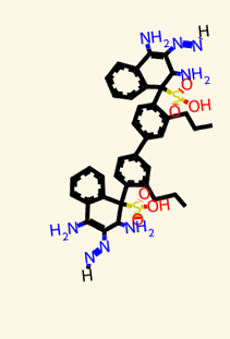 [H]/N=N/C1=C(N)c2ccccc2C(c2ccc(-c3ccc(C4(S(=O)(=O)O)c5ccccc5C(N)=C(/N=N/[H])C4N)c(CCC)c3)cc2CCC)(S(=O)(=O)O)C1N